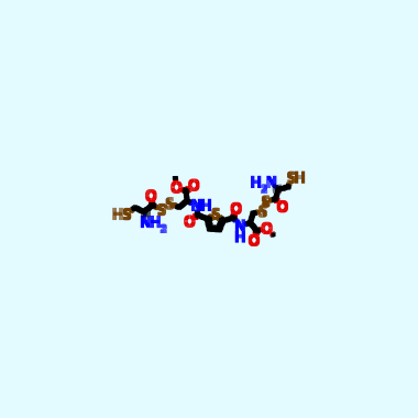 COC(=O)C(CSSC(=O)[C@@H](N)CS)NC(=O)c1ccc(C(=O)NC(CSSC(=O)[C@@H](N)CS)C(=O)OC)s1